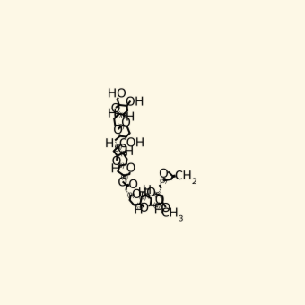 C=C1CO[C@@H](CC[C@]23CC(OC)[C@H](O2)C2C[C@@H](O3)[C@H]3O[C@@H](CC(=O)O[C@H]4COC5C[C@H]6O[C@@H](CC7O[C@@]8(CC[C@@H]9OC(CO)C(O)C[C@@H]9O8)CCC7(C)O)CC6O[C@H]5C4)CC[C@@H]3O2)C1